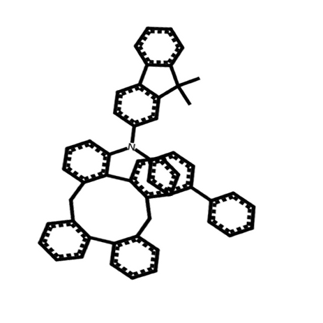 CC1(C)c2ccccc2-c2ccc(N(c3ccc(-c4ccccc4)cc3)c3cccc4c3-c3ccccc3Cc3ccccc3-c3ccccc3C4)cc21